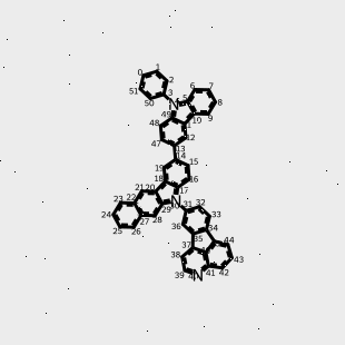 c1ccc(-n2c3ccccc3c3cc(-c4ccc5c(c4)c4cc6ccccc6cc4n5-c4ccc5c(c4)-c4ccnc6cccc-5c46)ccc32)cc1